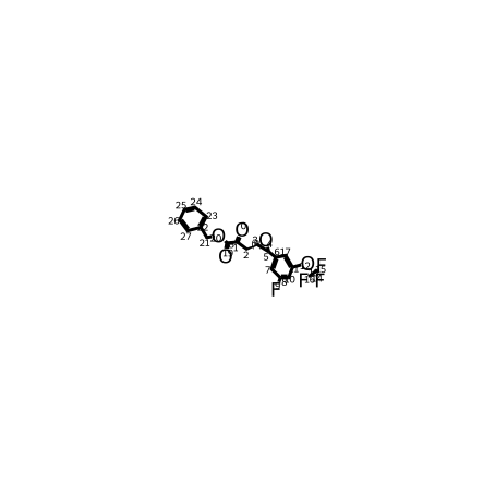 O=C(C[C@H]1OC1c1cc(F)cc(OC(F)(F)F)c1)C(=O)OCc1ccccc1